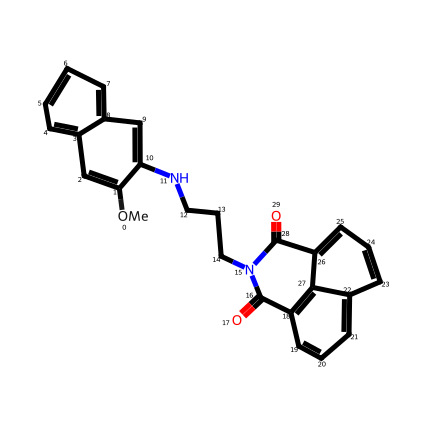 COc1cc2ccccc2cc1NCCCN1C(=O)c2cccc3cccc(c23)C1=O